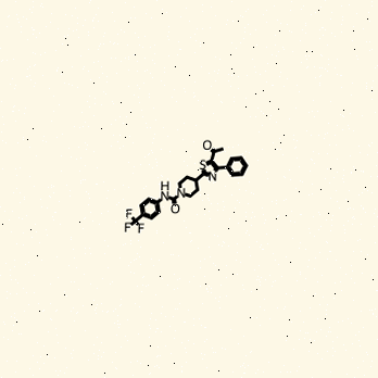 CC(=O)c1sc(C2CCN(C(=O)Nc3ccc(C(F)(F)F)cc3)CC2)nc1-c1ccccc1